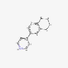 c1cc(-c2ccc3c(c2)CCCC3)ccn1